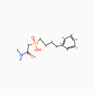 CN(C)C(=O)CP(=O)(O)CCCCc1ccccc1